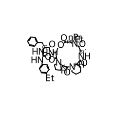 CCC[C@H]1C(=O)OC[C@H](NC(=O)[C@H](Cc2ccccc2)NC(=O)Nc2ccc(CC)cc2)C(=O)N2CCC[C@H]2C(=O)N2CCCC[C@H]2C(=O)N[C@@H](C)C(=O)N1CC